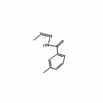 C=C(N/N=N\C)c1cccc(C)c1